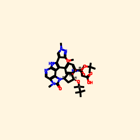 COc1nn(C)cc1-c1[nH]c2ncc3c(c2c1-c1ccc([C@H](C)CC(=O)O)cc1)n([C@H]1C[C@H](NC(=O)OC(C)(C)C)[C@H](O[Si](C)(C)C(C)(C)C)C1)c(=O)n3C